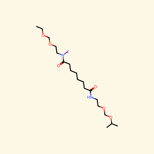 CCOCOCCN(I)C(=O)CCCCCCC(=O)NCCOCOC(C)C